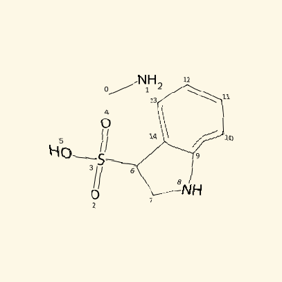 CN.O=S(=O)(O)C1CNc2ccccc21